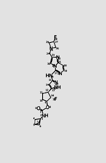 O=C(NC12CC(C1)C2)O[C@H]1CC[C@@H](c2cc(Nc3nccc4nc(CN5CC(F)C5)cn34)n[nH]2)[C@@H]1F